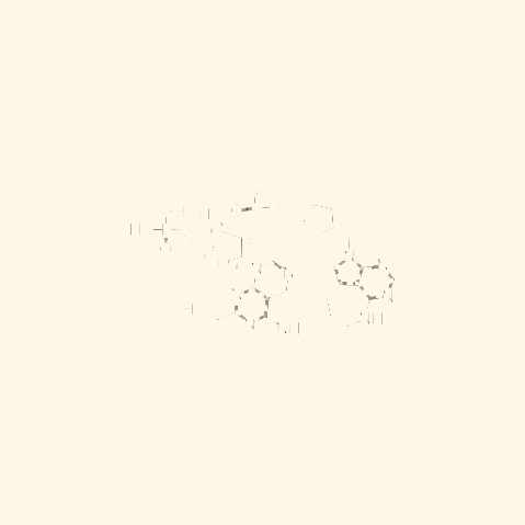 Nc1nc(CO)nc2c1CN=CN2[C@@H]1O[C@H](COP(=O)(O)S)[C@@H](O)[C@H]1OP(=O)(S)OC[C@@H]1CC[C@H](Cn2cc3c4c(ncnc42)NCCC3)O1